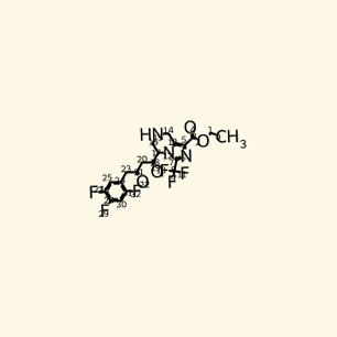 CCOC(=O)c1nc(C(F)(F)F)n2c1CNCC2C(=O)CC(=O)Cc1cc(F)c(F)cc1F